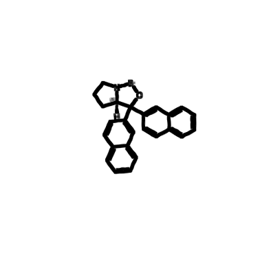 [B]1OC(c2ccc3ccccc3c2)(c2ccc3ccccc3c2)[C@@H]2CCCN12